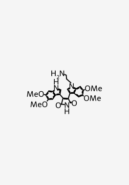 COc1cc2[nH]cc(C3=C(c4cn(CCCN)c5cc(OC)c(OC)cc45)C(=O)NC3=O)c2cc1OC